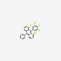 Fc1c(F)c(F)c(-c2c3ccccc3c(-c3ccccc3)c3cccc(F)c23)c(F)c1F